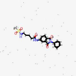 CC(C)S(=O)(=O)NCCCCC(=O)Nc1ccc2c(c1)C(=O)N(c1ccccc1)C2=O